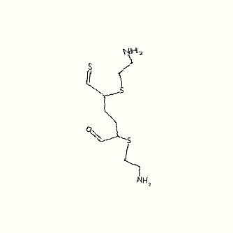 NCCSC(C=O)CCC(C=S)SCCN